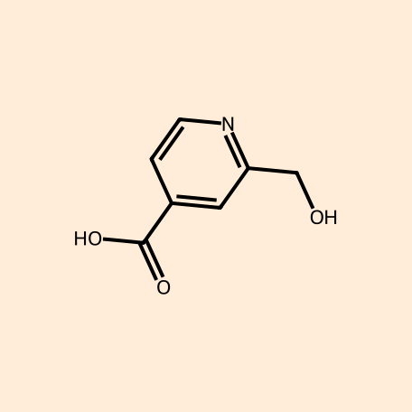 O=C(O)c1ccnc(CO)c1